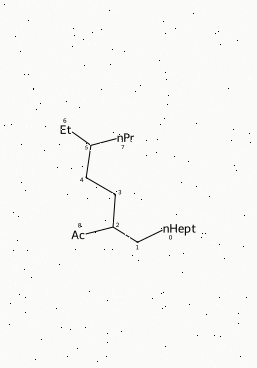 CCCCCCCCC(CCC(CC)CCC)C(C)=O